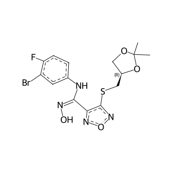 CC1(C)OC[C@H](CSc2nonc2C(=NO)Nc2ccc(F)c(Br)c2)O1